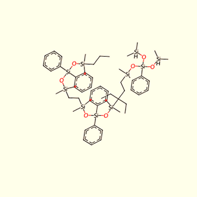 CCC[Si](C)(C)O[Si](O[Si](C)(C)CC[Si](C)(C)O[Si](O[Si](C)(C)C(CC)(CC)CC[Si](C)(C)O[Si](O[SiH](C)C)(O[SiH](C)C)c1ccccc1)(c1ccccc1)c1ccccc1)(c1ccccc1)c1ccccc1